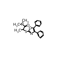 CC(Sc1nc(-c2ccccc2)c(-c2ccccc2)o1)C(=O)N(C)C